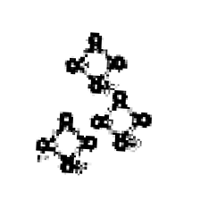 O=S(=O)([O-])c1cccc2c3nc4nc(nc5[nH]c(nc6nc(nc([nH]3)c12)-c1ccccc1-6)c1ccccc51)-c1ccccc1-4.O=S(=O)([O-])c1cccc2c3nc4nc(nc5[nH]c(nc6nc(nc([nH]3)c12)-c1ccccc1-6)c1ccccc51)-c1ccccc1-4.O=S(=O)([O-])c1cccc2c3nc4nc(nc5[nH]c(nc6nc(nc([nH]3)c12)-c1ccccc1-6)c1ccccc51)-c1ccccc1-4.[Ir+3]